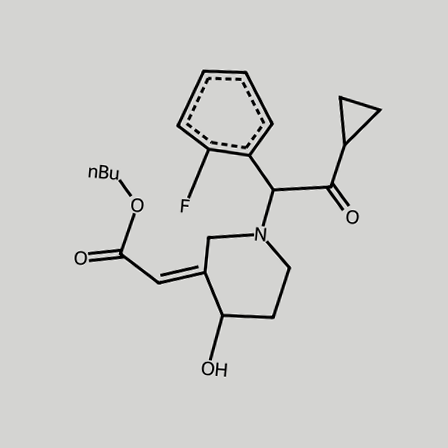 CCCCOC(=O)C=C1CN(C(C(=O)C2CC2)c2ccccc2F)CCC1O